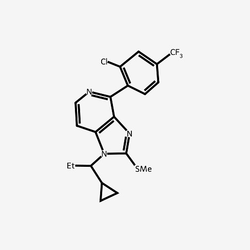 CCC(C1CC1)n1c(SC)nc2c(-c3ccc(C(F)(F)F)cc3Cl)nccc21